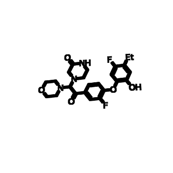 CCc1cc(O)c(Oc2ccc(C(=O)C(N3CCOCC3)N3CCNC(=O)C3)cc2F)cc1F